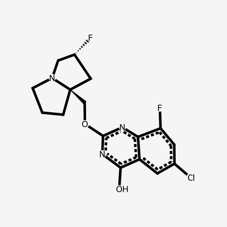 Oc1nc(OC[C@@]23CCCN2C[C@H](F)C3)nc2c(F)cc(Cl)cc12